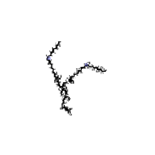 CCCCCCCC/C=C\CCCCCCCCC(=O)OCCC1OC2(CCN(C(=O)CCCN(C)CCN(C)C)CC2)OC1CCOC(=O)CCCCCCCC/C=C\CCCCCCCC